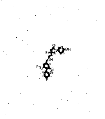 CCOc1cc(CNCCC2(CC)CC(=O)N(c3ccc(O)nc3)C2)cc(OCC)c1-c1ccc(F)cc1